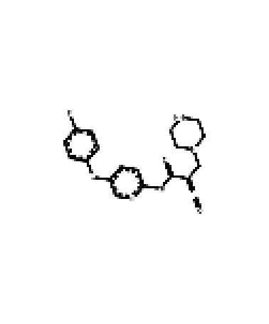 O=C=C(CN1CCNCC1)C(=O)Nc1ccc(Oc2ccc(F)cc2)cn1